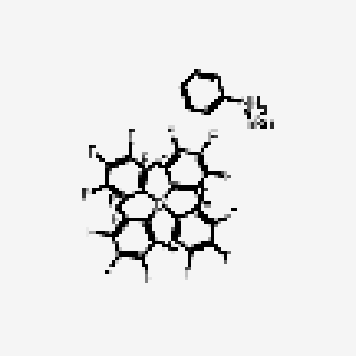 CCCC[NH2+]c1ccccc1.Fc1c(F)c(F)c([B-](c2c(F)c(F)c(F)c(F)c2F)(c2c(F)c(F)c(F)c(F)c2F)c2c(F)c(F)c(F)c(F)c2F)c(F)c1F